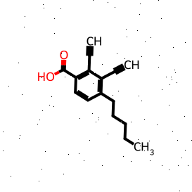 C#Cc1c(CCCCC)ccc(C(=O)O)c1C#C